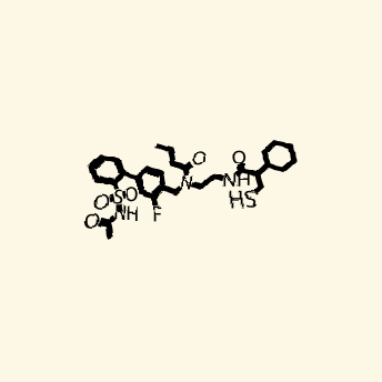 CCCC(=O)N(CCNC(=O)C(CS)C1CCCCC1)Cc1ccc(-c2ccccc2S(=O)(=O)NC(C)=O)cc1F